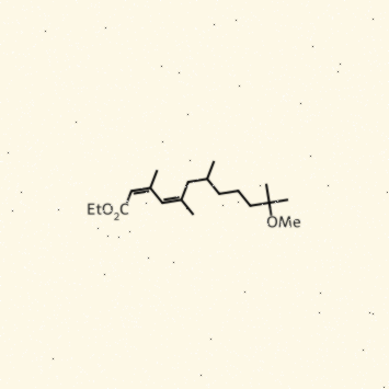 CCOC(=O)C=C(C)C=C(C)CC(C)CCCC(C)(C)OC